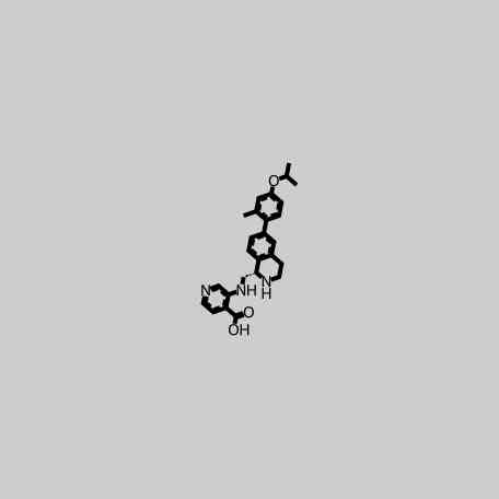 Cc1cc(OC(C)C)ccc1-c1ccc2c(c1)CCN[C@@H]2CNc1cnccc1C(=O)O